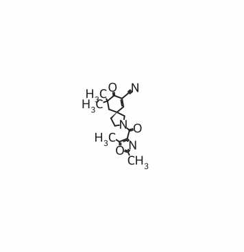 Cc1nc(C(=O)N2CC[C@@]3(C=C(C#N)C(=O)C(C)(C)C3)C2)c(C)o1